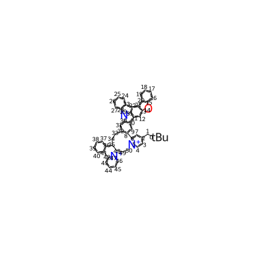 CC(C)(C)Cc1cc[n+]2c(c1)-c1cc3c4cc5oc6ccccc6c5c5c6ccccc6n(c3cc1CCC1c3ccccc3-c3cccc[n+]3C1CC2)c45